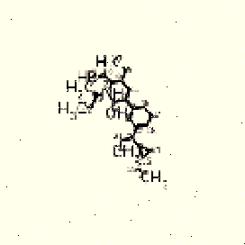 B=CC(NC(=C)CC)C(CC)CC(CO)C1CCC=C(C(CC)C2C[C@@H]2CC)C1